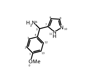 COc1ccc(C(N)c2ccn[nH]2)cc1